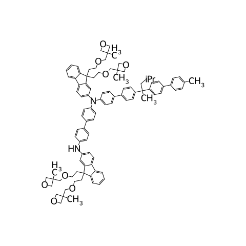 Cc1ccc(-c2ccc(C(C)(CC(C)C)c3ccc(-c4ccc(N(c5ccc(-c6ccc(Nc7ccc8c(c7)C(CCOCC7(C)COC7)(CCOCC7(C)COC7)c7ccccc7-8)cc6)cc5)c5ccc6c(c5)C(CCOCC5(C)COC5)(CCOCC5(C)COC5)c5ccccc5-6)cc4)cc3)cc2)cc1